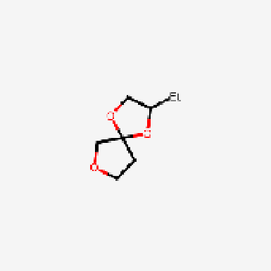 CCC1COC2(CCOC2)O1